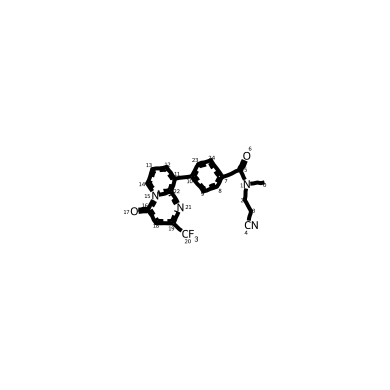 CN(CCC#N)C(=O)c1ccc(-c2cccn3c(=O)cc(C(F)(F)F)nc23)cc1